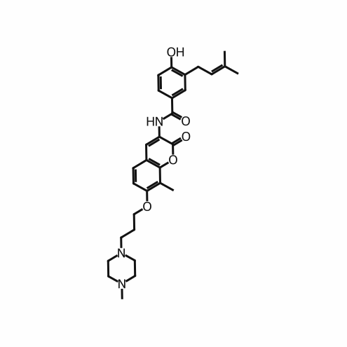 CC(C)=CCc1cc(C(=O)Nc2cc3ccc(OCCCN4CCN(C)CC4)c(C)c3oc2=O)ccc1O